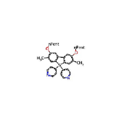 CCCCCOc1cc2c(cc1C)[Si](c1ccncc1)(c1ccncc1)c1cc(C)c(OCCCCC)cc1-2